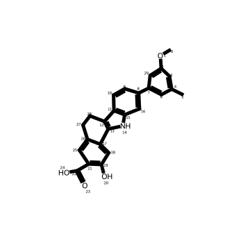 COc1cc(C)cc(-c2ccc3c4c([nH]c3c2)-c2cc(O)c(C(=O)O)cc2CC4)c1